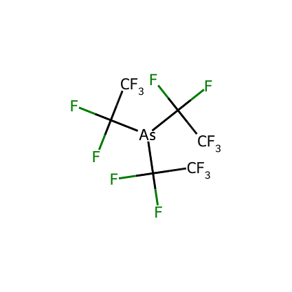 FC(F)(F)C(F)(F)[As](C(F)(F)C(F)(F)F)C(F)(F)C(F)(F)F